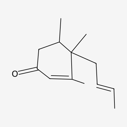 CC=CCC1(C)C(C)=CC(=O)CC1C